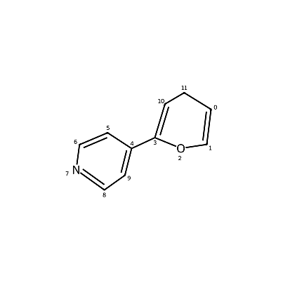 C1=COC(c2ccncc2)=CC1